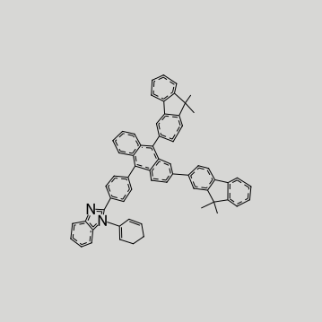 CC1(C)c2ccccc2-c2cc(-c3c4ccccc4c(-c4ccc(-c5nc6ccccc6n5C5=CCCC=C5)cc4)c4ccc(-c5ccc6c(c5)C(C)(C)c5ccccc5-6)cc34)ccc21